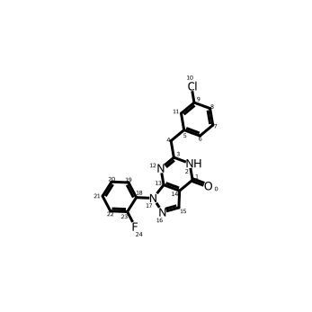 O=c1[nH]c(Cc2cccc(Cl)c2)nc2c1cnn2-c1ccccc1F